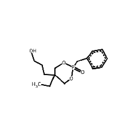 CCC1(CCCO)COP(=O)(Cc2ccccc2)OC1